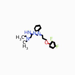 CCN(CC)CC(=N)N1CN(CCCOc2ccc(F)cc2F)C2=CC=CCC21